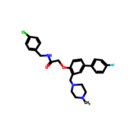 CN1CCN(Cc2cc(-c3ccc(F)cc3)ccc2OCC(=O)NCc2ccc(Cl)cc2)CC1